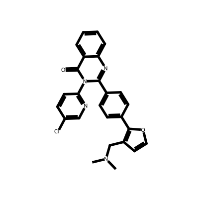 CN(C)Cc1ccoc1-c1ccc(-c2nc3ccccc3c(=O)n2-c2ccc(Cl)cn2)cc1